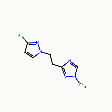 Cn1cnc(CCn2ccc(Br)n2)n1